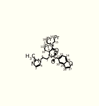 Cc1nccn1CCN([C@@H](CC(C)C)C(=O)N(CC(C)C)CC(C)C)S(=O)(=O)c1ccc2occc2c1